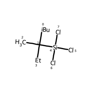 CCC(C)C(C)(CC)[Si](Cl)(Cl)Cl